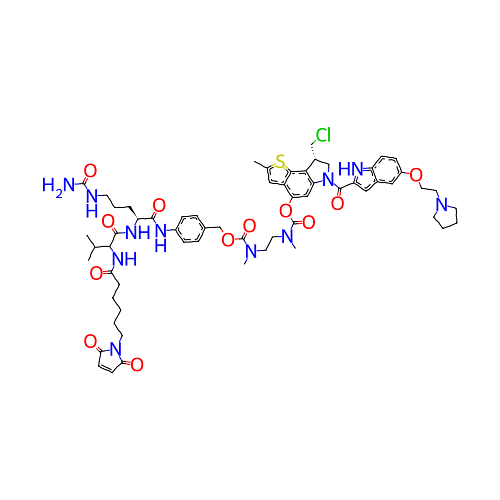 Cc1cc2c(OC(=O)N(C)CCN(C)C(=O)OCc3ccc(NC(=O)[C@H](CCCNC(N)=O)NC(=O)C(NC(=O)CCCCCN4C(=O)C=CC4=O)C(C)C)cc3)cc3c(c2s1)[C@H](CCl)CN3C(=O)c1cc2cc(OCCN3CCCC3)ccc2[nH]1